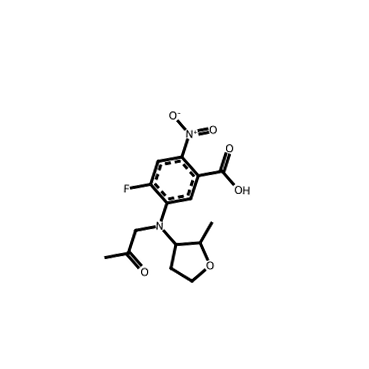 CC(=O)CN(c1cc(C(=O)O)c([N+](=O)[O-])cc1F)C1CCOC1C